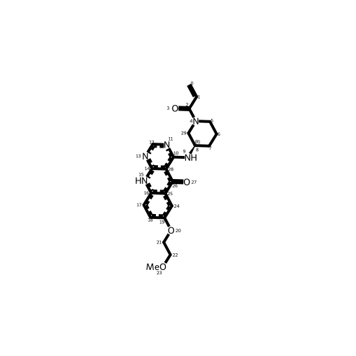 C=CC(=O)N1CCC[C@@H](Nc2ncnc3[nH]c4ccc(OCCOC)cc4c(=O)c23)C1